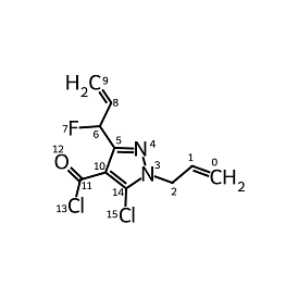 C=CCn1nc(C(F)C=C)c(C(=O)Cl)c1Cl